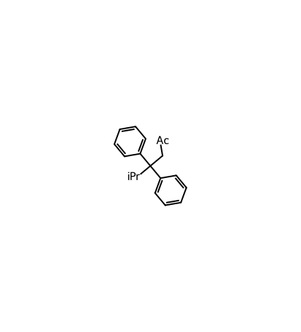 CC(=O)CC(c1ccccc1)(c1ccccc1)C(C)C